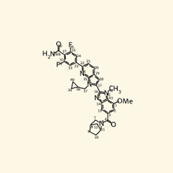 COc1cc(C(=O)N2CC3CCC2C3)cc2nc(-c3cc4ccc(-c5cc(F)c(C(N)=O)c(F)c5)nc4n3CC3CC3)n(C)c12